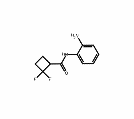 Nc1ccccc1NC(=O)C1CCC1(F)F